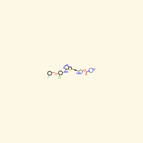 CN1CCN(C(=O)OC2CNC(C#Cc3cc4ncnc(Nc5ccc(OCc6cccc(F)c6)c(Cl)c5)c4s3)C2)CC1